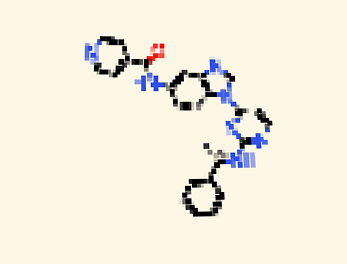 C[C@H](Nc1nccc(-n2cnc3cc(NC(=O)c4ccncc4)ccc32)n1)c1ccccc1